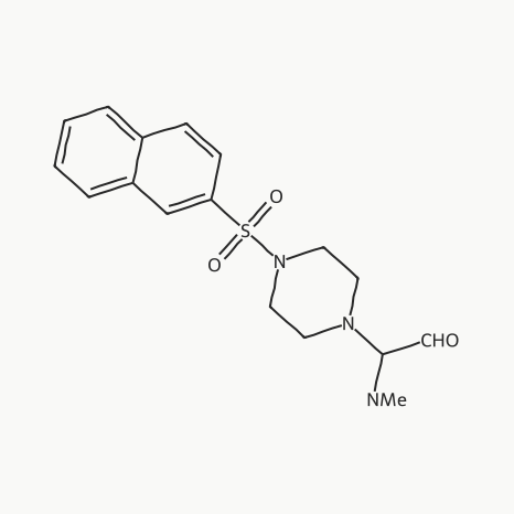 CNC(C=O)N1CCN(S(=O)(=O)c2ccc3ccccc3c2)CC1